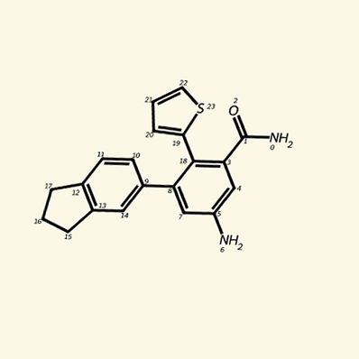 NC(=O)c1cc(N)cc(-c2ccc3c(c2)CCC3)c1-c1cccs1